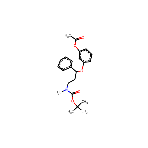 CC(=O)Oc1cccc(OC(CCN(C)C(=O)OC(C)(C)C)c2ccccc2)c1